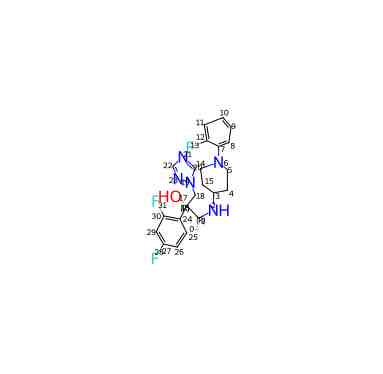 C[C@@H](NC1CCN(c2ccccc2F)CC1)[C@](O)(Cn1cncn1)c1ccc(F)cc1F